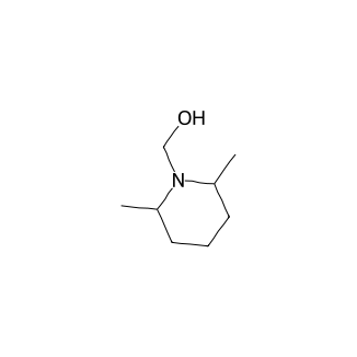 CC1CCCC(C)N1CO